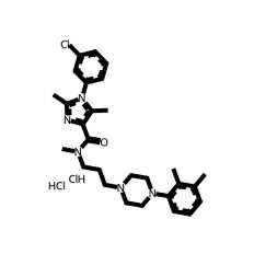 Cc1cccc(N2CCN(CCCN(C)C(=O)c3nc(C)n(-c4cccc(Cl)c4)c3C)CC2)c1C.Cl.Cl